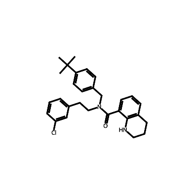 CC(C)(C)c1ccc(CN(CCc2cccc(Cl)c2)C(=O)c2cccc3c2NCCC3)cc1